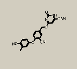 COc1cc(OCc2ccc(Oc3ccc(C#N)c(C)c3)c(C#N)c2)nc(=O)[nH]1